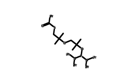 CC(C)C(=O)SCC(C)(C)OCC(C)(C)OP(N(C(C)C)C(C)C)N(C(C)C)C(C)C